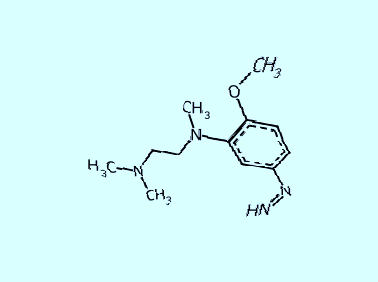 COc1ccc(N=N)cc1N(C)CCN(C)C